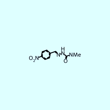 CNC(=O)NN=Cc1ccc([N+](=O)[O-])cc1